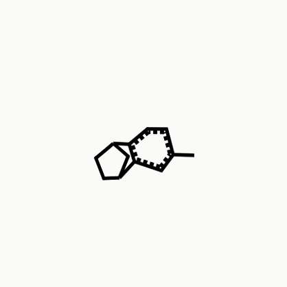 Cc1ccc2c(c1)C1CCC2C1